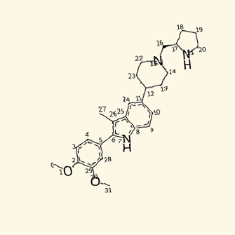 COc1ccc(-c2[nH]c3ccc(C4CCN(C[C@H]5CCCN5)CC4)cc3c2C)cc1OC